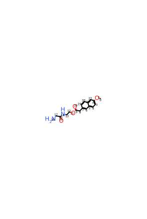 COc1ccc2cc(CC(=O)OCCNC(=O)CN)ccc2c1